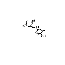 C=C(CC(=O)N/C=C(/CC(=O)O)OO)C(=O)O